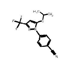 CC(C)Oc1cc(C(F)(F)F)nn1-c1ccc(C#N)cc1